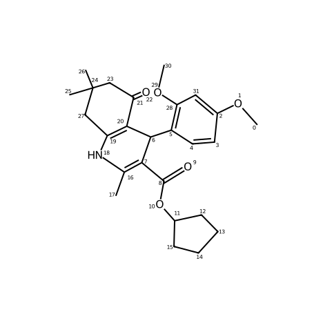 COc1ccc(C2C(C(=O)OC3CCCC3)=C(C)NC3=C2C(=O)CC(C)(C)C3)c(OC)c1